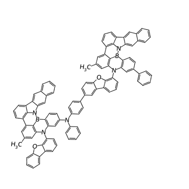 Cc1cc2c3c(c1)N(c1cccc4c1oc1ccccc14)c1cc(N(c4ccccc4)c4ccc(-c5ccc6oc7c(N8c9cc(-c%10ccccc%10)ccc9B9c%10c(cc(C)cc%108)-c8cccc%10c%11cc%12ccccc%12cc%11n9c8%10)cccc7c6c5)cc4)ccc1B3n1c3cc4ccccc4cc3c3cccc-2c31